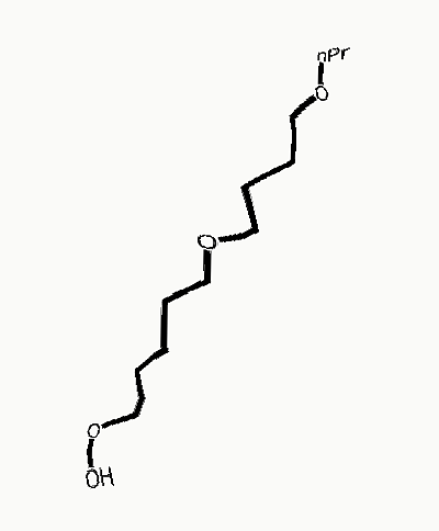 CCCOCCCCOCCCCCOO